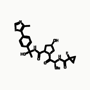 Cc1ncsc1-c1ccc(C(C)(O)NC(=O)C2C[C@@H](O)CN2C(=O)[C@@H](NC(=O)C2(F)CC2)C(C)(C)C)cc1